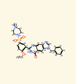 CCCOc1ccc(S(=O)(=O)N2CCN(CC)CC2)cc1-c1nc2cc3ncn(Cc4ccccc4)c3cc2c(=O)[nH]1